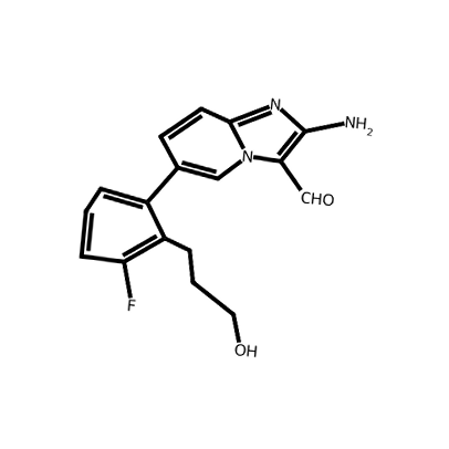 Nc1nc2ccc(-c3cccc(F)c3CCCO)cn2c1C=O